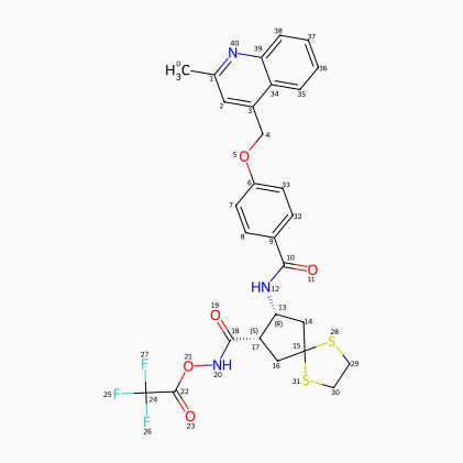 Cc1cc(COc2ccc(C(=O)N[C@@H]3CC4(C[C@@H]3C(=O)NOC(=O)C(F)(F)F)SCCS4)cc2)c2ccccc2n1